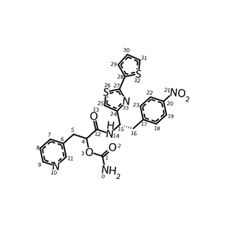 NC(=O)OC(Cc1cccnc1)C(=O)N[C@@H](Cc1ccc([N+](=O)[O-])cc1)c1csc(-c2cccs2)n1